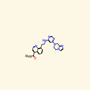 CNC(=O)c1ccnc2c(CCNc3cc(N4CCn5ccnc5C4)ncn3)cccc12